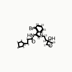 O=C(CCC1CCCC1)Nc1cn(CCC2(O)COC2)c2cccc(Br)c12